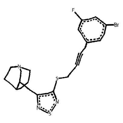 Fc1cc(Br)cc(C#CCSc2nsnc2C2CN3CCC2CC3)c1